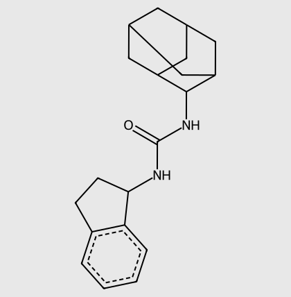 O=C(NC1CCc2ccccc21)NC1C2CC3CC(C2)CC1C3